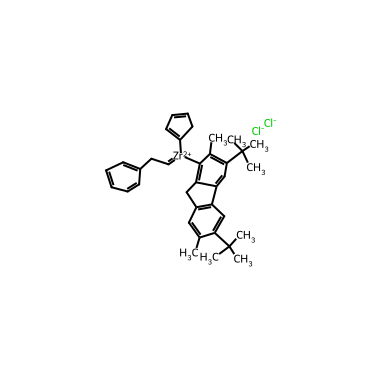 Cc1cc2c(cc1C(C)(C)C)-c1cc(C(C)(C)C)c(C)[c]([Zr+2](=[CH]Cc3ccccc3)[C]3=CC=CC3)c1C2.[Cl-].[Cl-]